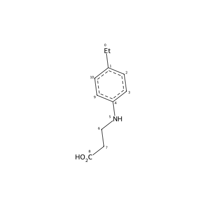 CCc1ccc(NCCC(=O)O)cc1